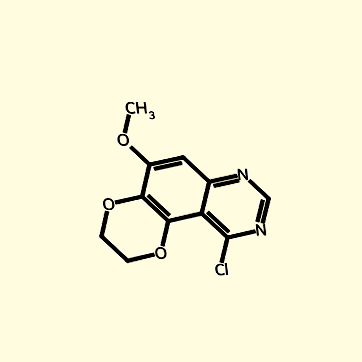 COc1cc2ncnc(Cl)c2c2c1OCCO2